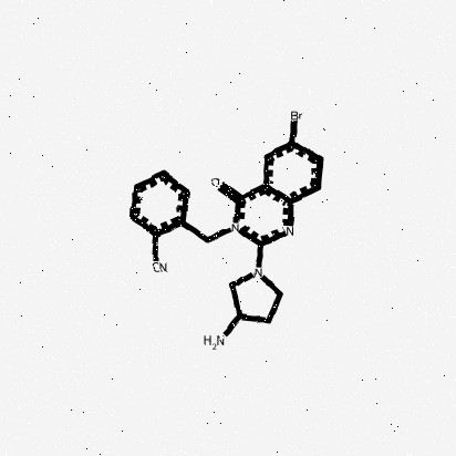 N#Cc1ccccc1Cn1c(N2CCC(N)C2)nc2ccc(Br)cc2c1=O